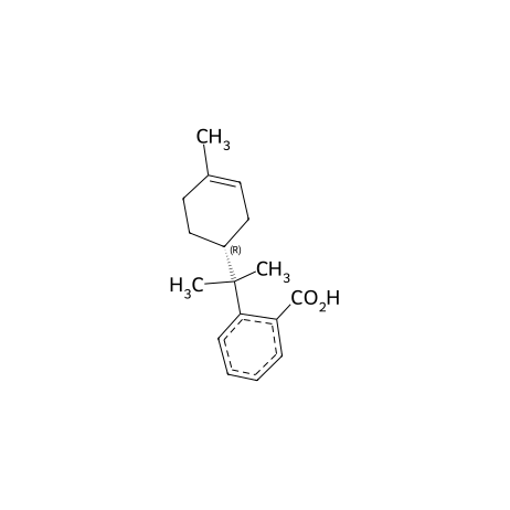 CC1=CC[C@H](C(C)(C)c2ccccc2C(=O)O)CC1